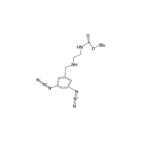 CC(C)(C)OC(=O)NCCNCc1cc(N=[N+]=[N-])cc(N=[N+]=[N-])c1